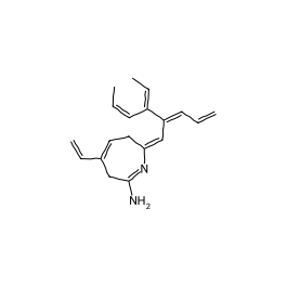 C=C/C=C(\C=C1/CC=C(C=C)CC(N)=N1)C(/C=C\C)=C/C